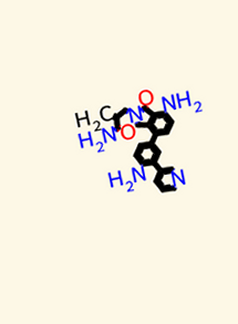 C=C(CN1Cc2c(-c3ccc(N)c(-c4cccnc4)c3)ccc(N)c2C1=O)C(N)=O